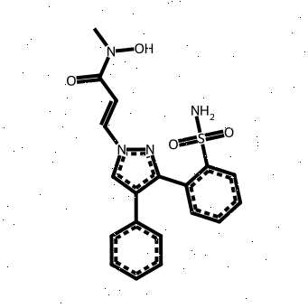 CN(O)C(=O)C=Cn1cc(-c2ccccc2)c(-c2ccccc2S(N)(=O)=O)n1